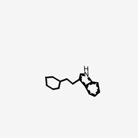 c1ccc2c(CCC3CCCCC3)c[nH]c2c1